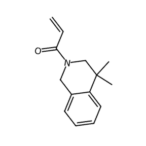 C=CC(=O)N1Cc2ccccc2C(C)(C)C1